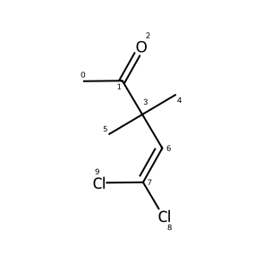 CC(=O)C(C)(C)C=C(Cl)Cl